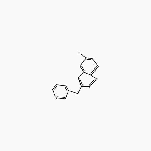 Fc1ccc2n[c]c(Cc3cccnc3)cc2c1